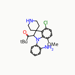 COc1ccc(Cl)c2c1N(c1ccccc1N)C(C(=O)C(C)(C)C)C21CCNCC1